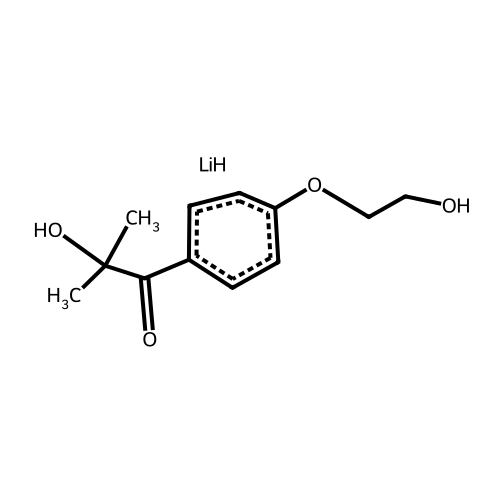 CC(C)(O)C(=O)c1ccc(OCCO)cc1.[LiH]